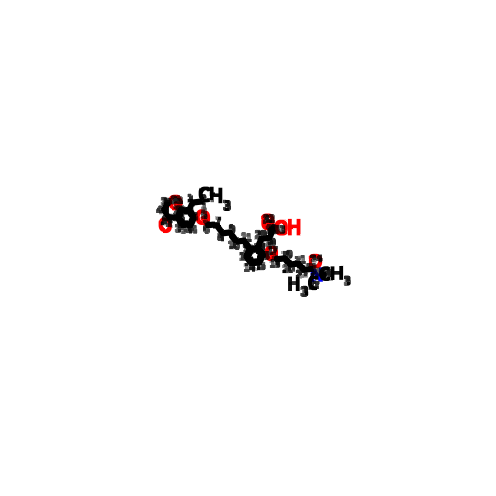 CCCc1c(OCCCCCCc2cccc(OCCCCCC(=O)N(C)C)c2CCC(=O)O)ccc2c1OCCC2=O